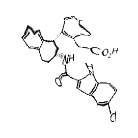 O=C(O)Cc1sccc1[C@H]1c2ccccc2C[C@H]1NC(=O)c1cc2cc(Cl)ccc2[nH]1